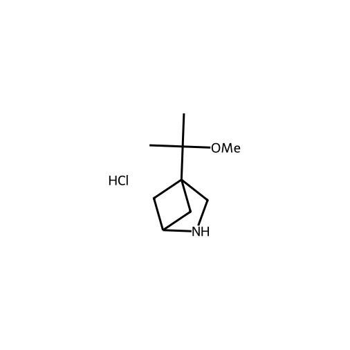 COC(C)(C)C12CNC(C1)C2.Cl